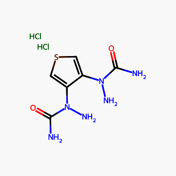 Cl.Cl.NC(=O)N(N)c1cscc1N(N)C(N)=O